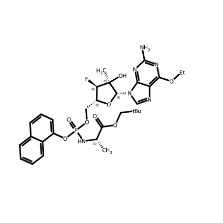 CCOc1nc(N)nc2c1ncn2[C@@H]1O[C@H](COP(=O)(N[C@@H](C)C(=O)OCC(C)(C)C)Oc2cccc3ccccc23)[C@@H](F)[C@@]1(C)O